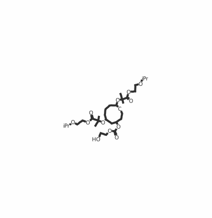 CC(C)OCCOC(=O)C(C)(C)OC1CCCC(OC(=O)OCCO)CC(OC(C)(C)C(=O)OCCOC(C)C)CCC1